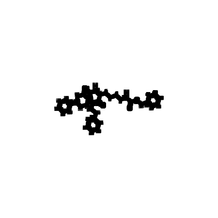 O=C(NCCCCC1NC(=O)C2(CCN(c3ccccc3)CC2)N(CCc2ccccc2)C1=O)OCc1ccccc1